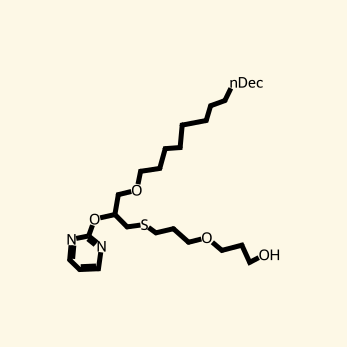 CCCCCCCCCCCCCCCCCCOCC(CSCCCOCCCO)Oc1ncccn1